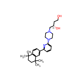 CC1(C)CCC(C)(C)c2cc(-c3cccc(N4CCN(C[C@@H](O)CCO)CC4)n3)ccc21